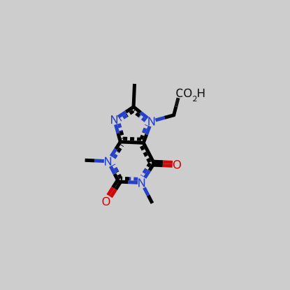 Cc1nc2c(c(=O)n(C)c(=O)n2C)n1CC(=O)O